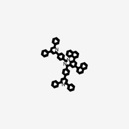 C1=C(c2ccccc2)CC(c2ccccc2)N=C1c1ccc(-c2nc(-c3ccc(-c4cc(-c5ccccc5)nc(-c5ccccc5)c4)cc3)c3cc(-c4cccc5ccccc45)cc(-c4cccc5ccccc45)c3n2)cc1